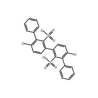 O=S(=O)(Cl)c1c(-c2ccc(Cl)c(-c3ccccc3)c2S(=O)(=O)Cl)ccc(Cl)c1-c1ccccc1